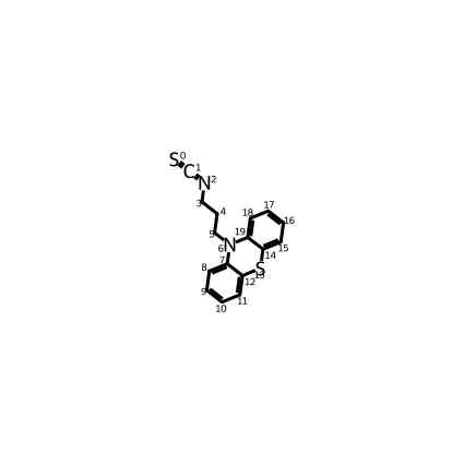 S=C=NCCCN1c2ccccc2Sc2ccccc21